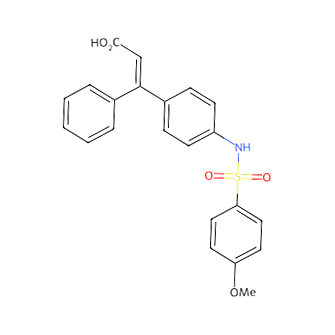 COc1ccc(S(=O)(=O)Nc2ccc(C(=CC(=O)O)c3ccccc3)cc2)cc1